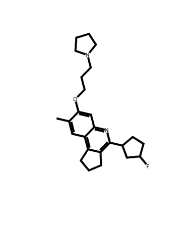 Cc1cc2c3c(c(C4CCC(F)C4)nc2cc1OCCCN1CCCC1)CCC3